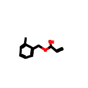 C=CC(O)OCc1ccccc1C